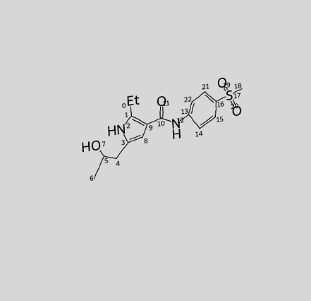 CCc1[nH]c(CC(C)O)cc1C(=O)Nc1ccc(S(C)(=O)=O)cc1